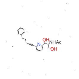 CC(=O)NC(CO)C(O)c1cccc(C#CCCCc2ccccc2)n1